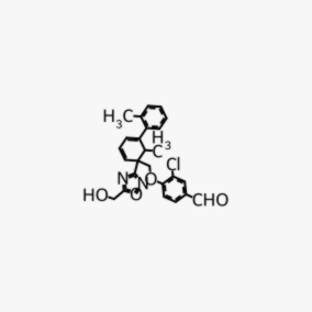 Cc1ccccc1C1=CC=CC(COc2ccc(C=O)cc2Cl)(c2noc(CO)n2)C1C